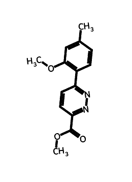 COC(=O)c1ccc(-c2ccc(C)cc2OC)nn1